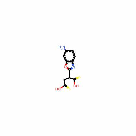 Nc1ccc2nc(C(CC(O)=S)C(O)=S)oc2c1